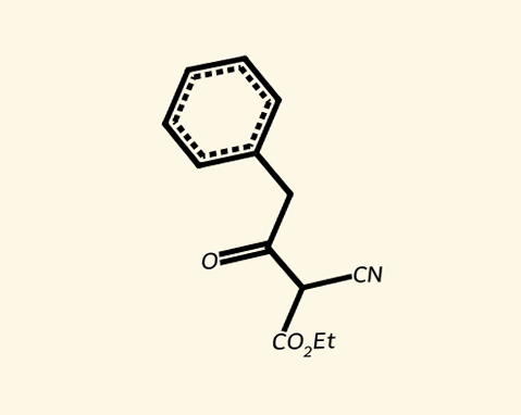 CCOC(=O)C(C#N)C(=O)Cc1ccccc1